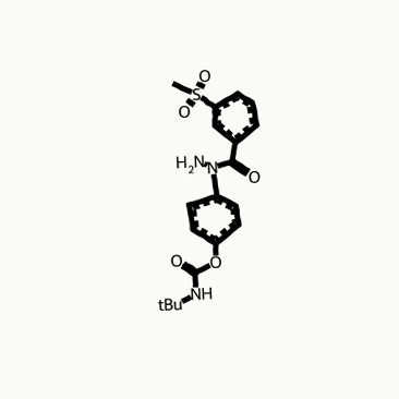 CC(C)(C)NC(=O)Oc1ccc(N(N)C(=O)c2cccc(S(C)(=O)=O)c2)cc1